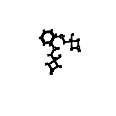 CC1(COc2ccccc2OCC2(C)COC2)COC1